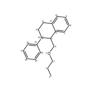 CCCOCC1c2ccccc2CCN1c1ccccc1